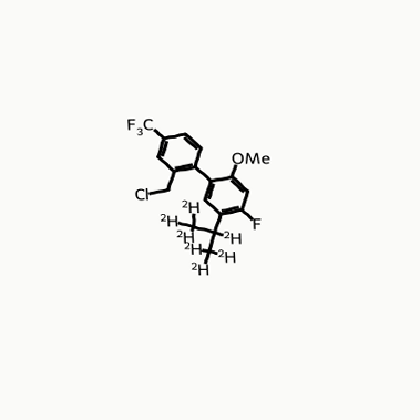 [2H]C([2H])([2H])C([2H])(c1cc(-c2ccc(C(F)(F)F)cc2CCl)c(OC)cc1F)C([2H])([2H])[2H]